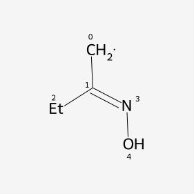 [CH2]/C(CC)=N/O